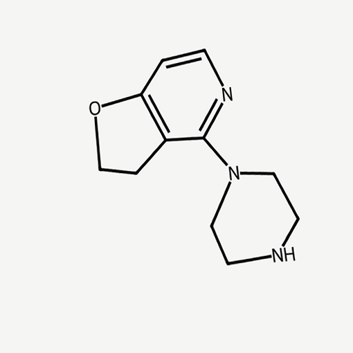 c1cc2c(c(N3CCNCC3)n1)CCO2